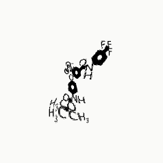 CC(C)(C)OC(=O)Nc1ccc(Oc2ccc(C(=O)Nc3ccc(C(F)(F)F)cc3)cc2[N+](=O)[O-])cc1